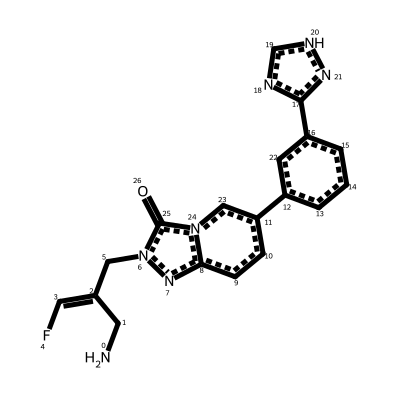 NC/C(=C\F)Cn1nc2ccc(-c3cccc(-c4nc[nH]n4)c3)cn2c1=O